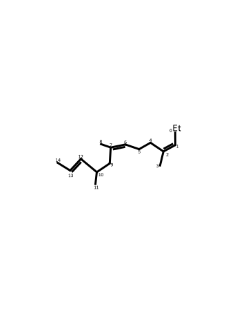 [CH2]CC=C(C)CCC=C(C)CC(C)C=CC